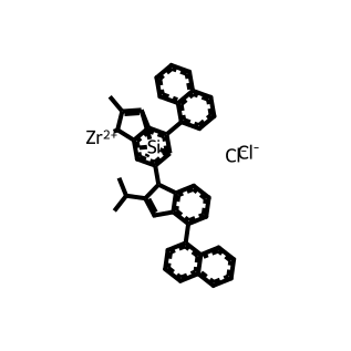 CC1=C2c3c(cc(C4C(C(C)C)=Cc5c(-c6cccc7ccccc67)cccc54)c(c3-c3cccc4ccccc34)[Si]2(C)C)[CH]1[Zr+2].[Cl-].[Cl-]